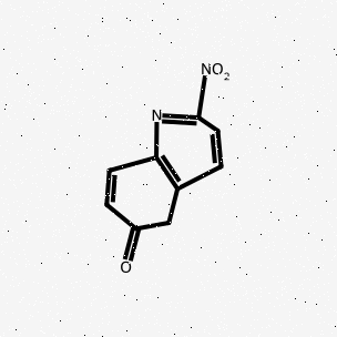 O=C1C=Cc2nc([N+](=O)[O-])ccc2C1